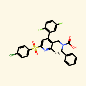 Cc1nc(S(=O)(=O)c2ccc(Cl)cc2)cc(-c2cc(F)ccc2F)c1CN(Cc1ccccc1)C(=O)O